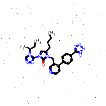 CCCCc1cn(-c2nncn2C(C)CC)c(=O)n1Cc1cnccc1-c1ccc(-c2nnn[nH]2)cc1